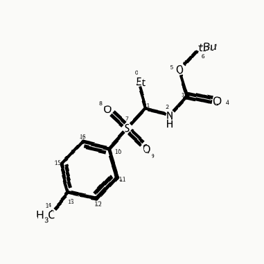 CCC(NC(=O)OC(C)(C)C)S(=O)(=O)c1ccc(C)cc1